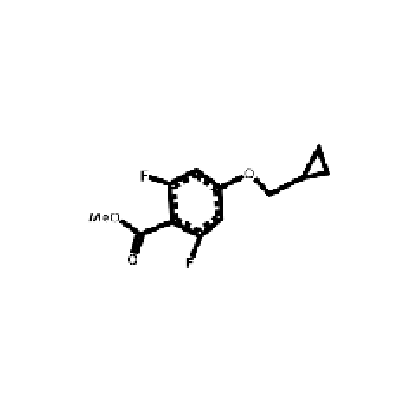 COC(=O)c1c(F)cc(OCC2CC2)cc1F